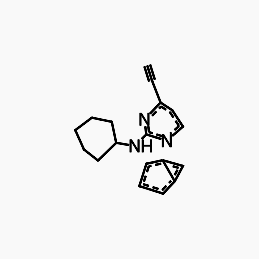 C#Cc1ccnc(NC2CCCCC2)n1.c1cc2cc-2c1